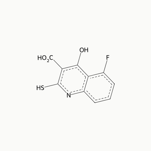 O=C(O)c1c(S)nc2cccc(F)c2c1O